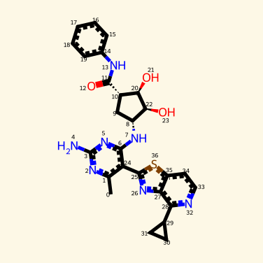 Cc1nc(N)nc(N[C@@H]2C[C@H](C(=O)Nc3ccccc3)[C@@H](O)[C@H]2O)c1-c1nc2c(C3CC3)nccc2s1